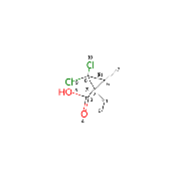 CC[C@@]1(C(=O)O)[C@@H](C)C1(Cl)Cl